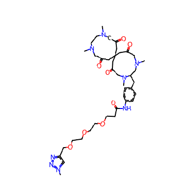 CN1CCN(C)CC(=O)CC2(CC(=O)C1)CC(=O)CN(C)CC(Cc1ccc(NC(=O)CCOCCOCCOCc3cn(C)nn3)cc1)N(C)CC(=O)C2